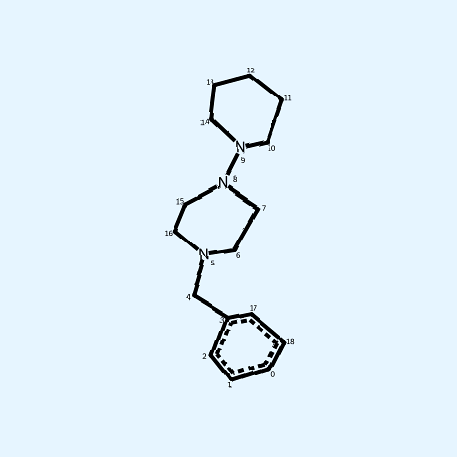 c1ccc(CN2CCN(N3CCCCC3)CC2)cc1